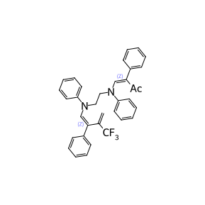 C=C(/C(=C\N(CCN(/C=C(\C(C)=O)c1ccccc1)c1ccccc1)c1ccccc1)c1ccccc1)C(F)(F)F